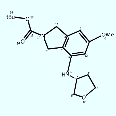 COc1cc2c(c(N[C@@H]3CCOC3)c1)CN(C(=O)OC(C)(C)C)C2